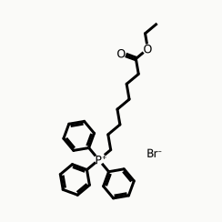 CCOC(=O)CCCCCCC[P+](c1ccccc1)(c1ccccc1)c1ccccc1.[Br-]